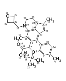 Cc1ccc(-c2c(C(OC(C)(C)C)C(=O)O)c(C)c3c4c2cc(C)n4CCN3CC2COC2)cc1